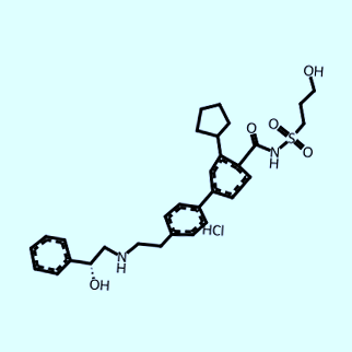 Cl.O=C(NS(=O)(=O)CCCO)c1ccc(-c2ccc(CCNC[C@H](O)c3ccccc3)cc2)cc1C1CCCC1